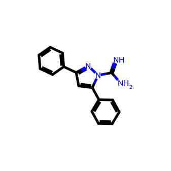 N=C(N)n1nc(-c2ccccc2)cc1-c1ccccc1